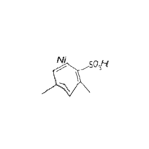 Cc1ccc(S(=O)(=O)O)c(C)c1.[Ni]